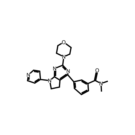 CN(C)C(=O)c1cccc(-c2nc(N3CCOCC3)nc3c2CCN3c2ccncc2)c1